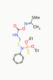 CCOP(=S)(OCC)N(SCNC(=O)O/N=C(\C)SC)c1ccccc1